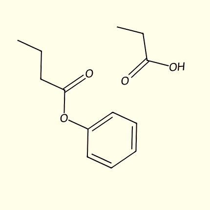 CCC(=O)O.CCCC(=O)Oc1ccccc1